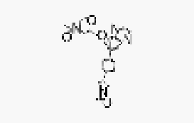 CC(=O)N1CCOC(COc2nc(-c3ccc(C4CN(C(C)=O)C4)cc3)cc3nccnc23)C1